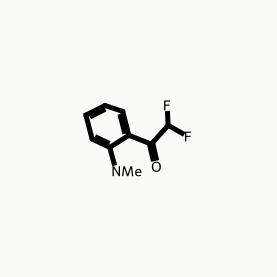 CNc1ccccc1C(=O)C(F)F